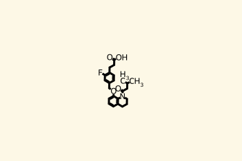 CC(C)CC(=O)N1CCCc2cccc(OCc3ccc(CCC(=O)O)c(F)c3)c21